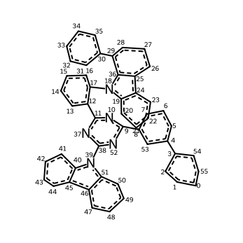 c1ccc(-c2cccc(-c3nc(-c4ccccc4-n4c5ccccc5c5cccc(-c6ccccc6)c54)nc(-n4c5ccccc5c5ccccc54)n3)c2)cc1